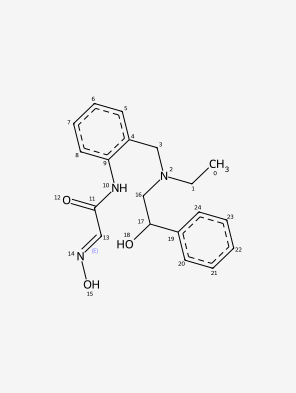 CCN(Cc1ccccc1NC(=O)/C=N/O)CC(O)c1ccccc1